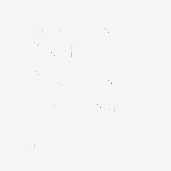 CN(C)c1ncccc1CN1CC2N(C(=O)CN(C)N2C(=O)NC2CCN(Cc3ccccc3)CC2)[C@@H](Cc2ccc(O)cc2)C1=O